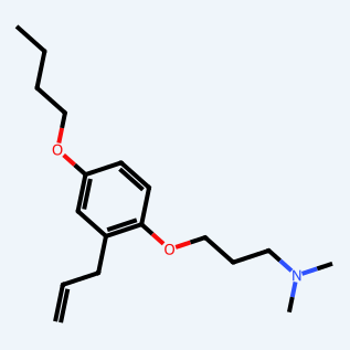 C=CCc1cc(OCCCC)ccc1OCCCN(C)C